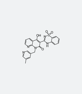 Cc1cncc(Cn2c(=O)c(C3=NS(=O)(=O)c4ccccc4N3)c(O)c3cccnc32)c1